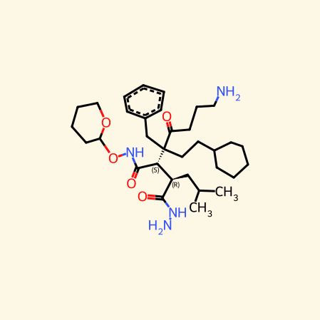 CC(C)C[C@@H](C(=O)NN)[C@H](C(=O)NOC1CCCCO1)C(CCC1CCCCC1)(Cc1ccccc1)C(=O)CCCN